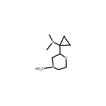 CN(C)C1(C2CN(C(=O)O)CCO2)CC1